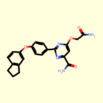 NC(=O)COc1cc(C(N)=O)nc(-c2ccc(Oc3ccc4c(c3)CCC4)cc2)n1